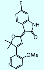 COc1ccncc1C1=C/C(=C2\C(=O)Nc3cc(F)ccc32)OC1(C)C